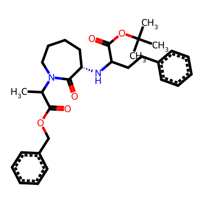 CC(C(=O)OCc1ccccc1)N1CCCC[C@H](NC(CCc2ccccc2)C(=O)OC(C)(C)C)C1=O